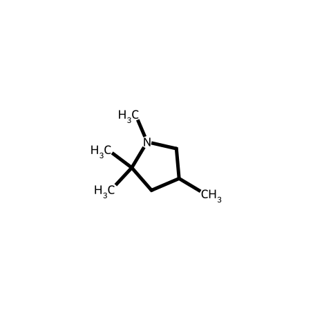 CC1CN(C)C(C)(C)C1